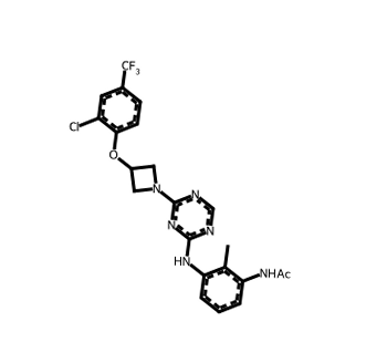 CC(=O)Nc1cccc(Nc2ncnc(N3CC(Oc4ccc(C(F)(F)F)cc4Cl)C3)n2)c1C